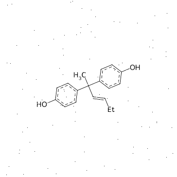 CCC=CC(C)(c1ccc(O)cc1)c1ccc(O)cc1